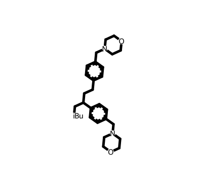 CCC(C)CC(CCc1ccc(CN2CCOCC2)cc1)c1ccc(CN2CCOCC2)cc1